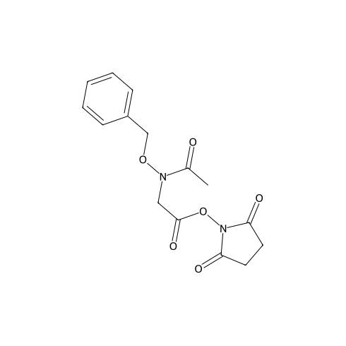 CC(=O)N(CC(=O)ON1C(=O)CCC1=O)OCc1ccccc1